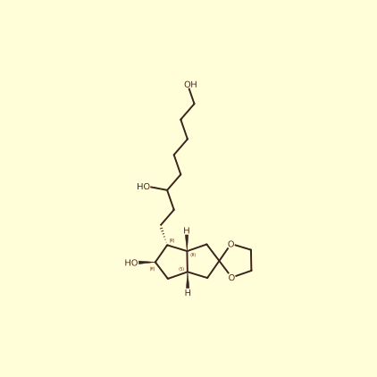 OCCCCCC(O)CC[C@@H]1[C@@H]2CC3(C[C@@H]2C[C@H]1O)OCCO3